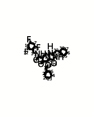 O=C(NCc1c(F)cc(F)cc1F)c1cn2c(c(OCc3ccccc3)c1=O)C(=O)NC(Cc1ccccc1)N2